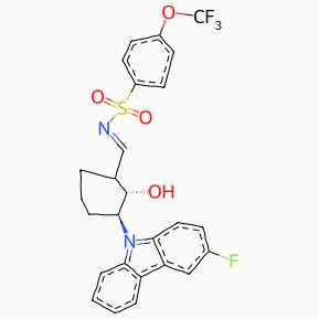 O=S(=O)(/N=C/C1CCC[C@H](n2c3ccccc3c3cc(F)ccc32)[C@H]1O)c1ccc(OC(F)(F)F)cc1